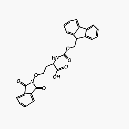 O=C(NC(CCON1C(=O)c2ccccc2C1=O)C(=O)O)OCC1c2ccccc2-c2ccccc21